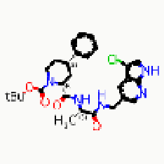 C[C@H](NC(=O)[C@H]1C[C@@H](c2ccccc2)CCN1C(=O)OC(C)(C)C)C(=O)NCc1cnc2[nH]cc(Cl)c2c1